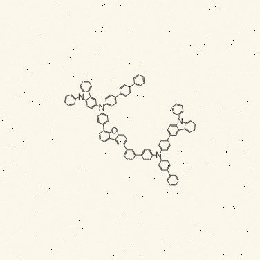 c1ccc(-c2ccc(-c3ccc(N(c4ccc(-c5cccc6c5oc5ccc(-c7cccc(-c8ccc(N(c9ccc(-c%10ccccc%10)cc9)c9ccc(-c%10ccc%11c(c%10)c%10ccccc%10n%11-c%10ccccc%10)cc9)cc8)c7)cc56)cc4)c4ccc5c(c4)c4ccccc4n5-c4ccccc4)cc3)cc2)cc1